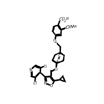 COc1cc(OCC23CCC(OCc4c(-c5c(Cl)cncc5Cl)noc4C4CC4)(CC2)CC3)ccc1C(=O)O